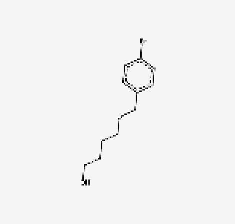 OCCCCOCc1ccc(Br)cc1